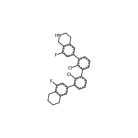 Fc1cc(-c2cccc(-c3cccc(-c4cc(F)c5c(c4)CCNC5)c3Cl)c2Cl)cc2c1CCCC2